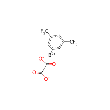 O=C([O-])C(=O)[O-].[B+2]c1cc(C(F)(F)F)cc(C(F)(F)F)c1